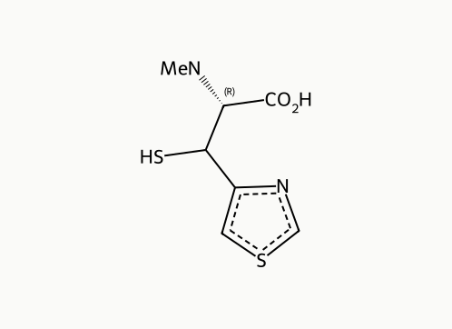 CN[C@H](C(=O)O)C(S)c1cscn1